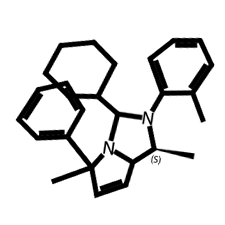 Cc1ccccc1N1C(C2CCCCC2)N2C(C=CC2(C)c2ccccc2)[C@@H]1C